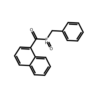 O=C(c1cccc2ccccc12)[PH](=O)Cc1ccccc1